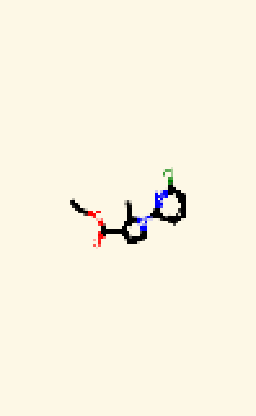 CCOC(=O)c1ccn(-c2cccc(Cl)n2)c1C